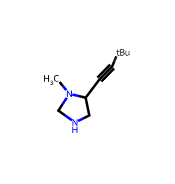 CN1CNCC1C#CC(C)(C)C